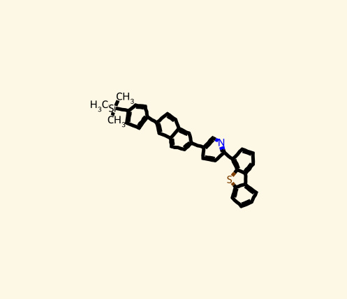 C[Si](C)(C)c1ccc(-c2ccc3cc(-c4ccc(-c5cccc6c5sc5ccccc56)nc4)ccc3c2)cc1